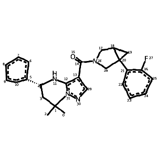 CC1(C)C[C@H](c2ccccc2)Nc2c(C(=O)N3CC4CC4(c4ccccc4F)C3)cnn21